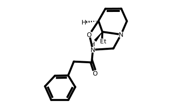 CC[C@@H]1[C@@H]2C=CCN1CN(C(=O)Cc1ccccc1)O2